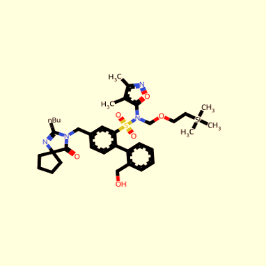 CCCCC1=NC2(CCCC2)C(=O)N1Cc1ccc(-c2ccccc2CO)c(S(=O)(=O)N(COCC[Si](C)(C)C)c2onc(C)c2C)c1